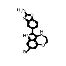 Nc1nc2cc(-c3[nH]c4cc(Br)cc5c4c3NCCO5)ccc2o1